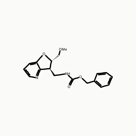 COC[C@H]1Oc2cccnc2[C@@H]1CNC(=O)OCc1ccccc1